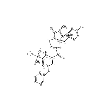 COC1=C(C)C(=O)N2CCN(C(=O)[C@@H](COCc3ccccc3)NC(=O)C(C)(C)N)C[C@@]12Cc1ccc(F)cc1